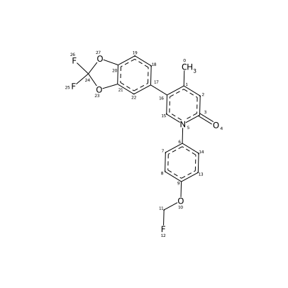 Cc1cc(=O)n(-c2ccc(OCF)cc2)cc1-c1ccc2c(c1)OC(F)(F)O2